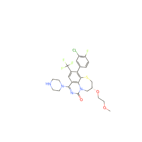 COCCO[C@H]1CSc2c(-c3ccc(F)c(Cl)c3)c(C(F)(F)F)cc3c(N4CCNCC4)nc(=O)n(c23)C1